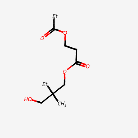 CCC(=O)OCCC(=O)OCC(C)(CC)CO